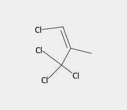 CC(=CCl)C(Cl)(Cl)Cl